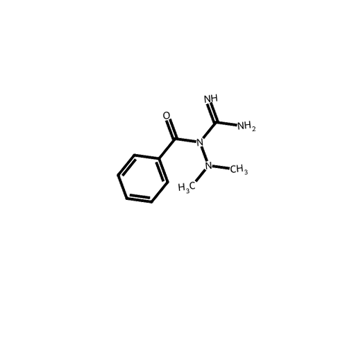 CN(C)N(C(=N)N)C(=O)c1ccccc1